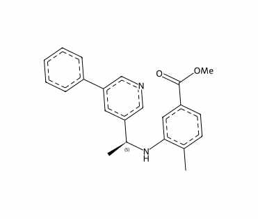 COC(=O)c1ccc(C)c(N[C@@H](C)c2cncc(-c3ccccc3)c2)c1